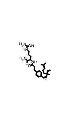 C=CC(C)(/C=C\c1ccc(CCC(=O)NC(CCCNC(=N)N)C(N)=O)cc1)CCC=C(C)C